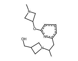 CC(Cc1cccc(OC2CN(C)C2)n1)N1CC(CO)C1